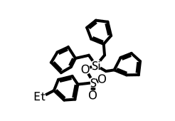 CCc1ccc(S(=O)(=O)O[Si](Cc2ccccc2)(Cc2ccccc2)Cc2ccccc2)cc1